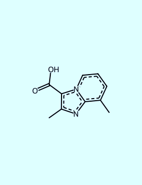 Cc1nc2c(C)cccn2c1C(=O)O